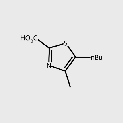 CCCCc1sc(C(=O)O)nc1C